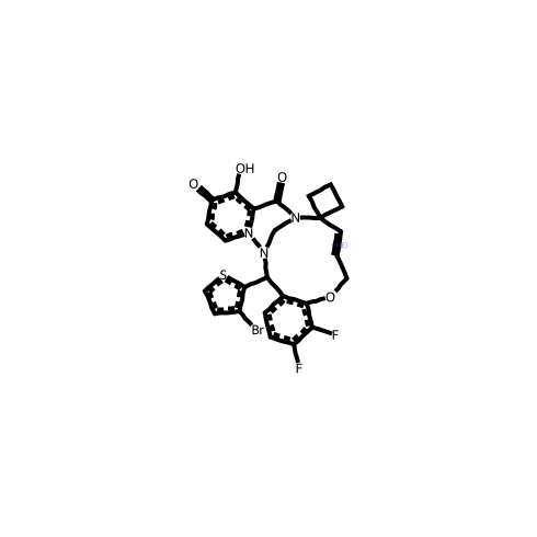 O=C1c2c(O)c(=O)ccn2N2CN1C1(/C=C/COc3c(ccc(F)c3F)C2c2sccc2Br)CCC1